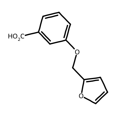 O=C(O)c1cccc(OCc2ccco2)c1